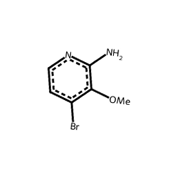 COc1c(Br)ccnc1N